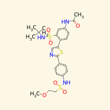 COCCS(=O)(=O)Nc1ccc(-c2ncc(-c3ccc(NC(C)=O)cc3S(=O)(=O)NC(C)(C)C)s2)cc1